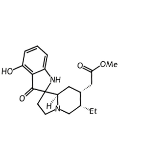 CC[C@@H]1CN2CCC3(Nc4cccc(O)c4C3=O)[C@H]2C[C@@H]1CC(=O)OC